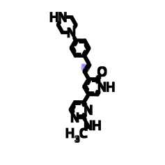 CNc1nccc(-c2c[nH]c(=O)c(/C=C/c3ccc(N4CCNCC4)cc3)c2)n1